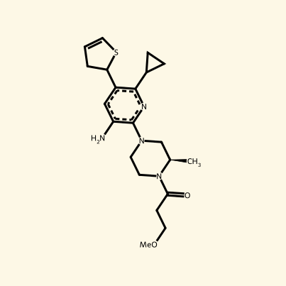 COCCC(=O)N1CCN(c2nc(C3CC3)c(C3CC=CS3)cc2N)C[C@H]1C